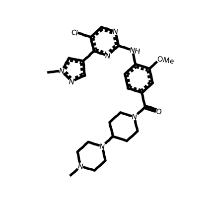 COc1cc(C(=O)N2CCC(N3CCN(C)CC3)CC2)ccc1Nc1ncc(Cl)c(-c2cnn(C)c2)n1